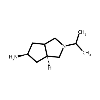 CC(C)N1CC2C[C@H](N)C[C@@H]2C1